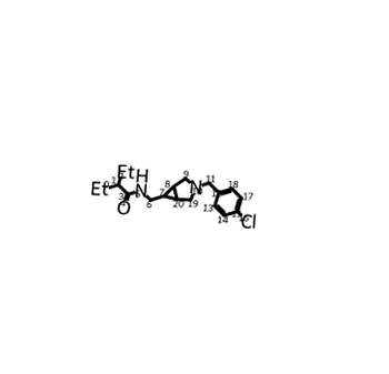 CCC(CC)C(=O)NCC1C2CN(Cc3ccc(Cl)cc3)CC12